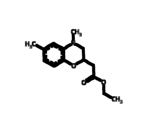 CCOC(=O)CC1CN(C)c2cc(C)ccc2O1